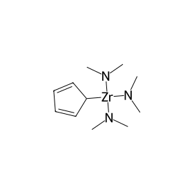 C[N](C)[Zr]([CH]1C=CC=C1)([N](C)C)[N](C)C